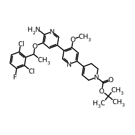 COc1cc(C2=CCN(C(=O)OC(C)(C)C)CC2)ncc1-c1cnc(N)c(OC(C)c2c(Cl)ccc(F)c2Cl)c1